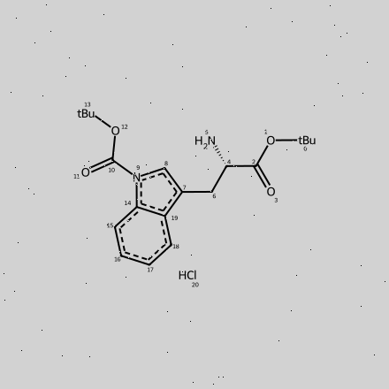 CC(C)(C)OC(=O)[C@@H](N)Cc1cn(C(=O)OC(C)(C)C)c2ccccc12.Cl